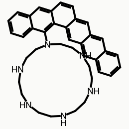 c1ccc2cc3cc4c(ccc5cc6ccccc6c(N6CCNCCNCCNCCNCCNCC6)c54)cc3cc2c1